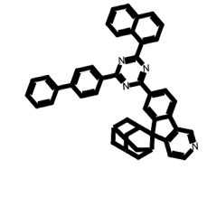 c1ccc(-c2ccc(-c3nc(-c4ccc5c(c4)C4(c6ccncc6-5)C5CC6CC(C5)CC4C6)nc(-c4cccc5ccccc45)n3)cc2)cc1